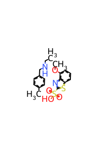 CCNCc1ccc(C)cc1.COc1cccc2sc(S(=O)(=O)O)nc12